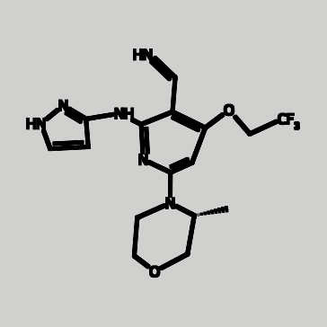 C[C@@H]1COCCN1c1cc(OCC(F)(F)F)c(C=N)c(Nc2cc[nH]n2)n1